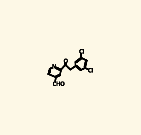 O=Cc1ccnc(C(=O)Cc2cc(Cl)cc(Cl)c2)c1